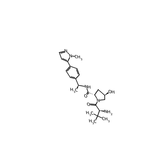 C[C@H](NC(=O)[C@@H]1C[C@@H](O)CN1C(=O)[C@@H](N)C(C)(C)C)c1ccc(-c2ccnn2C)cc1